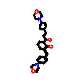 O=C(C=Cc1ccc(N2CCOCC2)cc1)C1CCCC(=Cc2ccc(N3CCOCC3)cc2)C1=O